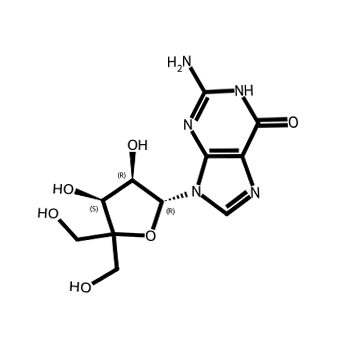 Nc1nc2c(ncn2[C@@H]2OC(CO)(CO)[C@@H](O)[C@H]2O)c(=O)[nH]1